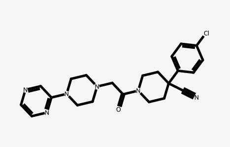 N#CC1(c2ccc(Cl)cc2)CCN(C(=O)CN2CCN(c3cnccn3)CC2)CC1